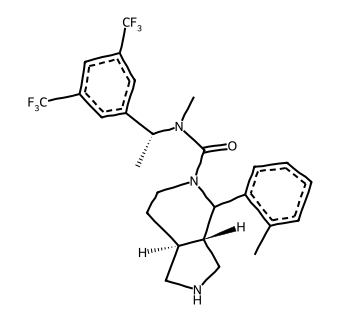 Cc1ccccc1C1[C@@H]2CNC[C@H]2CCN1C(=O)N(C)[C@H](C)c1cc(C(F)(F)F)cc(C(F)(F)F)c1